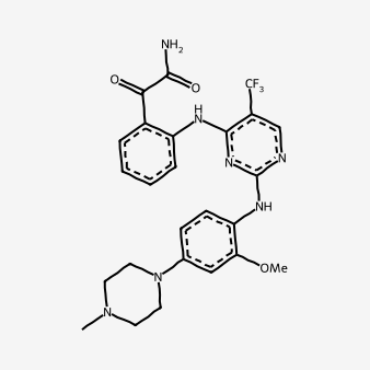 COc1cc(N2CCN(C)CC2)ccc1Nc1ncc(C(F)(F)F)c(Nc2ccccc2C(=O)C(N)=O)n1